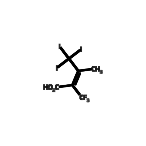 CC(=C(C(=O)O)C(F)(F)F)C(I)(I)I